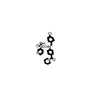 O=C(c1ccc(NCc2ccc(Cl)cc2)cc1)N1CCCCC1.O=S(=O)(O)c1cccnc1